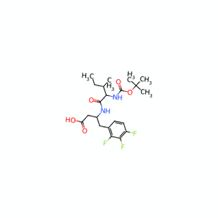 CCC(C)C(NC(=O)OC(C)(C)C)C(=O)NC(CC(=O)O)Cc1ccc(F)c(F)c1F